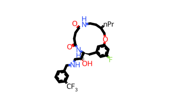 CCCC1CCNC(=O)CCC(=O)N[C@H]([C@H](O)CNCc2cccc(C(F)(F)F)c2)Cc2cc(F)cc(c2)OC1